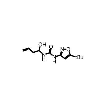 C=CCC(O)NC(=O)Nc1cc(C(C)(C)C)on1